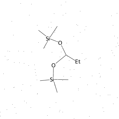 CCC(O[Si](C)(C)C)O[Si](C)(C)C